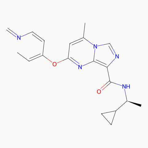 C=N/C=C\C(=C/C)Oc1cc(C)n2cnc(C(=O)N[C@@H](C)C3CC3)c2n1